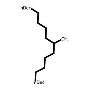 CCCCCCCCCCCCCCC(C)CCCCCCCCCCCCCC